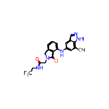 N#Cc1cc(Nc2cccc3c2C(=O)N(CC(=O)NCC(F)(F)F)C3)cc2cn[nH]c12